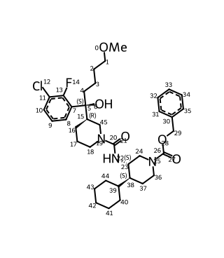 COCCCC[C@@](O)(c1cccc(Cl)c1F)[C@@H]1CCCN(C(=O)N[C@@H]2CN(C(=O)OCc3ccccc3)CC[C@H]2C2CCCCC2)C1